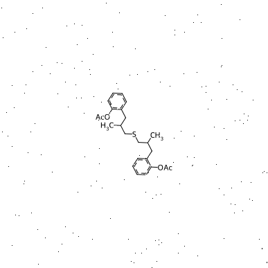 CC(=O)Oc1ccccc1CC(C)CSCC(C)Cc1ccccc1OC(C)=O